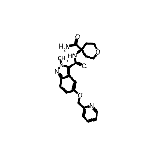 Cn1nc2ccc(OCc3ccccn3)cc2c1C(=O)NC1(C(N)=O)CCOCC1